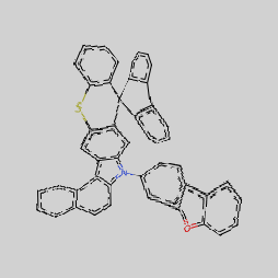 c1ccc2c(c1)Sc1cc3c4c5ccccc5ccc4n(-c4ccc5c(c4)oc4ccccc45)c3cc1C21c2ccccc2-c2ccccc21